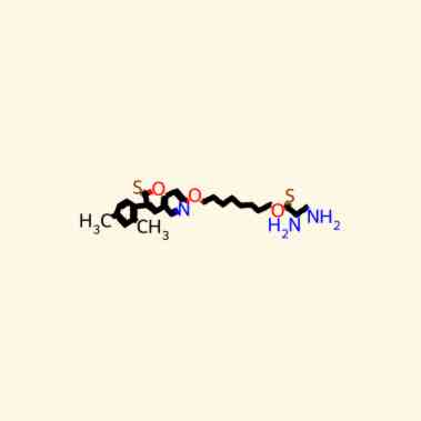 Cc1ccc(-c2cc3cnc(OCCCCCCCCOC(=S)C(N)CN)cc3oc2=S)c(C)c1